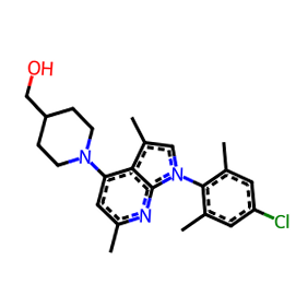 Cc1cc(N2CCC(CO)CC2)c2c(C)cn(-c3c(C)cc(Cl)cc3C)c2n1